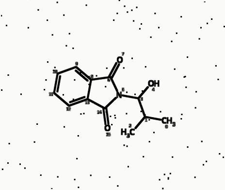 C[C](C)C(O)N1C(=O)c2ccccc2C1=O